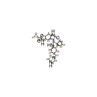 O=C1Nc2ccc(NS(=O)(=O)C3CC3)cc2/C1=C(\Nc1ccc(CN2CCNCC2)cc1)c1ccccc1